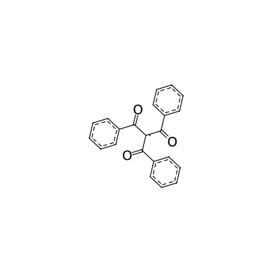 O=C([C](C(=O)c1ccccc1)C(=O)c1ccccc1)c1ccccc1